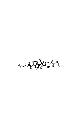 CCCCC(=O)Nc1ncnn2c([C@]3(C#N)O[C@H](COC(=O)C(N)C(C)C)[C@@H](O)[C@H]3O)ccc12